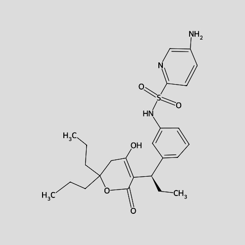 CCCC1(CCC)CC(O)=C([C@H](CC)c2cccc(NS(=O)(=O)c3ccc(N)cn3)c2)C(=O)O1